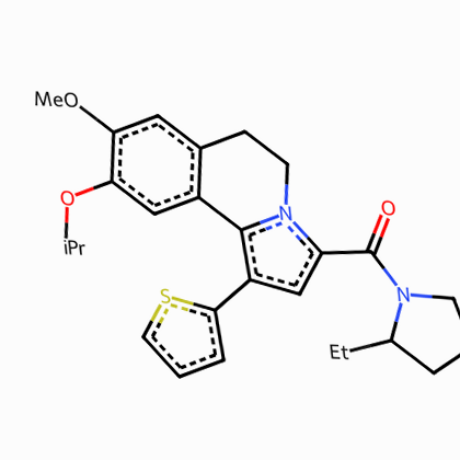 CCC1CCCN1C(=O)c1cc(-c2cccs2)c2n1CCc1cc(OC)c(OC(C)C)cc1-2